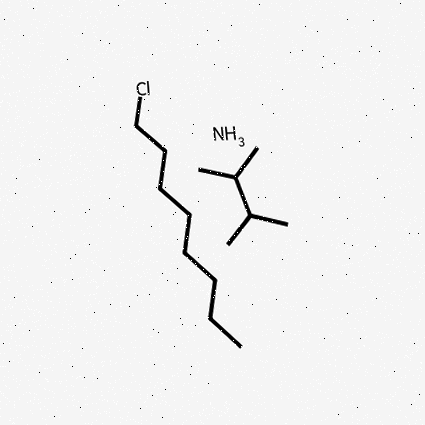 CC(C)C(C)C.CCCCCCCCCl.N